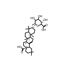 CC1(C)CC[C@]2(C(=O)O)CC[C@]3(C)C(=CCC4[C@@]5(C)CC[C@@H](C[C@@H]6OC(C(=O)O)[C@@H](O)C(O)C6O)C(C)(C)C5CC[C@]43C)C2C1